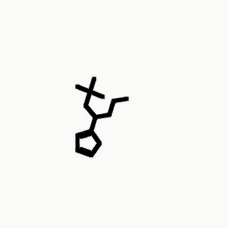 CCCC(CC(C)(C)C)C1=CC=CC1